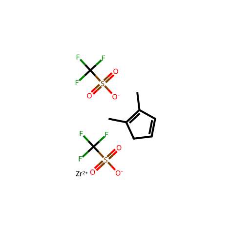 CC1=C(C)CC=C1.O=S(=O)([O-])C(F)(F)F.O=S(=O)([O-])C(F)(F)F.[Zr+2]